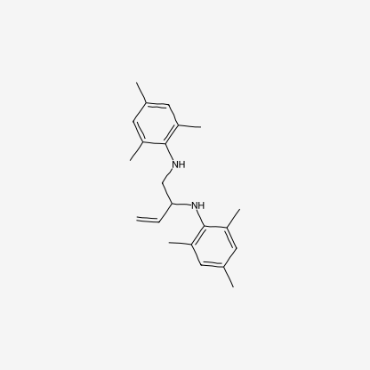 C=CC(CNc1c(C)cc(C)cc1C)Nc1c(C)cc(C)cc1C